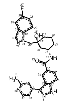 Cc1cc(-c2n[nH]c3ccc(C(=O)N[C@H]4CCC[C@@](O)(Cn5ncc6cc(F)ccc65)C4)cc23)ccn1